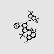 [2H]C1([2H])CC[C@@]2(COc3nc(N4CC5CCC4CN5)c4cc(C(F)(F)F)n(-c5cc(O)cc6ccc(F)c(CC)c56)c(=O)c4n3)C[C@@]([2H])(F)CN12